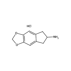 Cl.NC1Cc2cc3c(cc2C1)OCO3